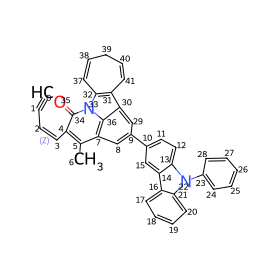 C#C/C=C\c1c(C)c2cc(-c3ccc4c(c3)c3ccccc3n4-c3ccccc3)cc3c4c(n(c1=O)c23)C=CCC=C4